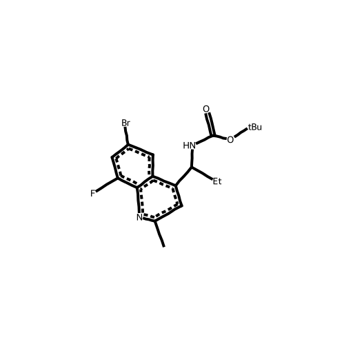 CCC(NC(=O)OC(C)(C)C)c1cc(C)nc2c(F)cc(Br)cc12